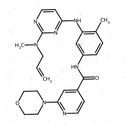 C=CCN(C)c1nccc(Nc2cc(NC(=O)c3ccnc(N4CCOCC4)c3)ccc2C)n1